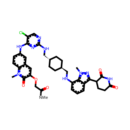 CNC(=O)COc1cc2cc(Nc3nc(NC[C@H]4CC[C@H](CNc5cccc6c(C7CCC(=O)NC7=O)nn(C)c56)CC4)ncc3Cl)ccc2n(C)c1=O